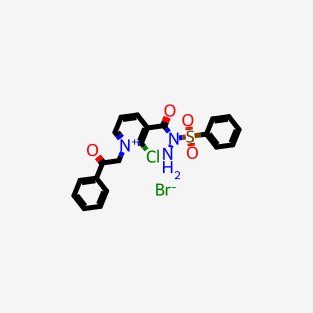 NN(C(=O)c1ccc[n+](CC(=O)c2ccccc2)c1Cl)S(=O)(=O)c1ccccc1.[Br-]